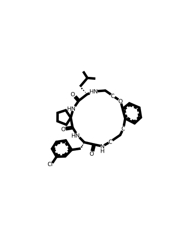 CC(C)C[C@@H]1NCCOc2ccccc2CCCNC(=O)[C@H](Cc2cccc(Cl)c2)NC(=O)C2(CCCC2)NC1=O